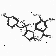 COC(=O)c1cc(OC)c(OC)cc1-n1c(C)ccc1C(N)(Oc1ccc(Cl)cc1)C(C)=O